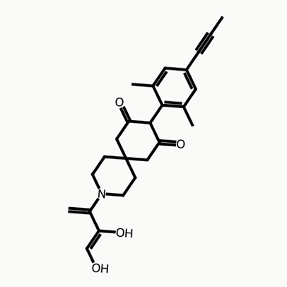 C=C(/C(O)=C/O)N1CCC2(CC1)CC(=O)C(c1c(C)cc(C#CC)cc1C)C(=O)C2